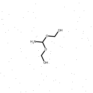 NC(OCO)OCO